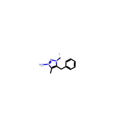 Cc1c(Cc2ccccc2)n(C)n[n+]1N.[I-]